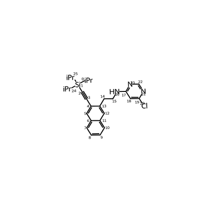 CC(C)[Si](C#Cc1cc2ccccc2cc1CCNc1cc(Cl)ncn1)(C(C)C)C(C)C